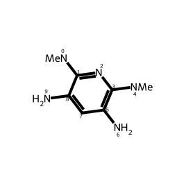 CNc1nc(NC)c(N)cc1N